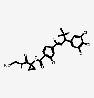 CC(F)(F)C(C=C(F)c1ccc(C(=O)NC2(C(=O)NCC(F)(F)F)CC2)c(Cl)c1)c1cc(Cl)c(Cl)c(Cl)c1